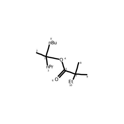 CCCCC(C)(CCC)OC(=O)C(C)(C)CC